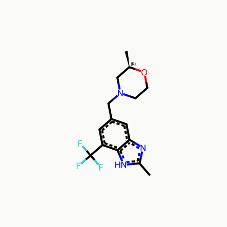 Cc1nc2cc(CN3CCO[C@H](C)C3)cc(C(F)(F)F)c2[nH]1